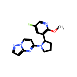 COc1ncc(F)cc1C1CCCN1c1ccn2nccc2n1